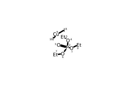 CCOP(=O)(OCC)OCC.[I][Cu][I]